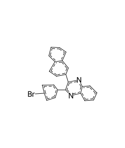 Brc1ccc(-c2nc3ccccc3nc2-c2ccc3ccccc3c2)cc1